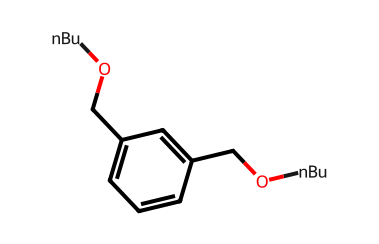 CCCCOCc1cccc(COCCCC)c1